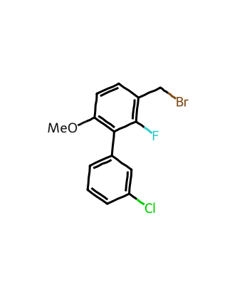 COc1ccc(CBr)c(F)c1-c1cccc(Cl)c1